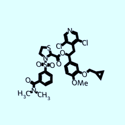 COc1ccc(C(Cc2c(Cl)cncc2Cl)OC(=O)C2SCCN2S(=O)(=O)c2cccc(C(=O)N(C)C)c2)cc1OCC1CC1